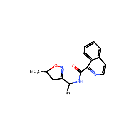 CCOC(=O)C1CC(C(NC(=O)c2nccc3ccccc23)C(C)C)=NO1